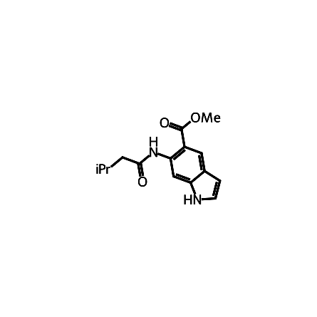 COC(=O)c1cc2cc[nH]c2cc1NC(=O)CC(C)C